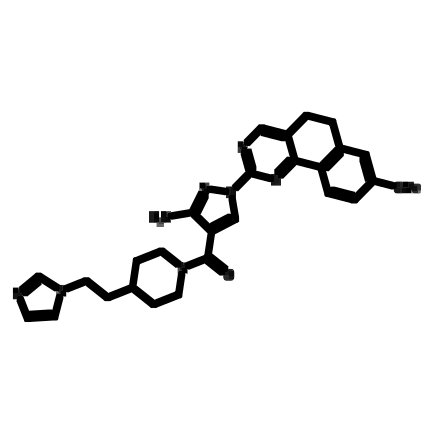 COc1ccc2c(c1)CCc1cnc(-n3cc(C(=O)N4CCC(CCn5ccnc5)CC4)c(N)n3)nc1-2